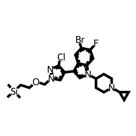 C[Si](C)(C)CCOCn1cc(-c2cn(C3CCN(C4CC4)CC3)c3cc(F)c(Br)cc23)c(Cl)n1